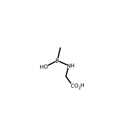 CB(O)NCC(=O)O